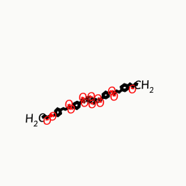 C=CC(=O)COc1ccc(CCC(=O)Oc2ccc(C(=O)O[C@@H]3COC4C3OC[C@H]4OC(=O)c3ccc(OC(=O)CCc4ccc(CC(=O)C=C)cc4)cc3)cc2)cc1